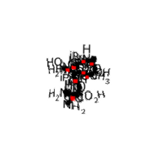 CC[C@H](C)[C@H](NC(=O)[C@@H]1CCCN1C(=O)CNC(=O)[C@@H](NC(=O)[C@H](CC(C)C)NC(=O)CNC(=O)[C@H](CCCNC(=N)N)NC(=O)[C@@H](NC(=O)CNC(=O)[C@H](CC(=O)O)NC(=O)[C@H](CCCCN)NC(=O)CN)C(C)C)[C@@H](C)O)C(=O)NCC(=O)N1CCC[C@H]1C(=O)O